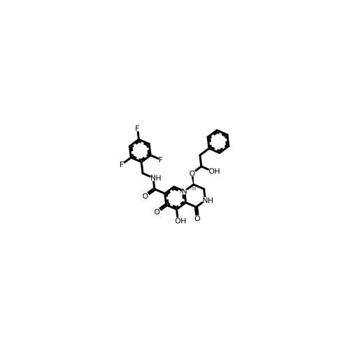 O=C(NCc1c(F)cc(F)cc1F)c1cn2c(c(O)c1=O)C(=O)NC[C@@H]2OC(O)Cc1ccccc1